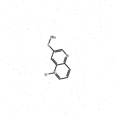 CC(C)(C)Sc1cnc2ccc[n+]([O-])c2c1